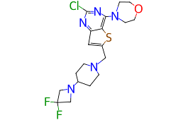 FC1(F)CN(C2CCN(Cc3cc4nc(Cl)nc(N5CCOCC5)c4s3)CC2)C1